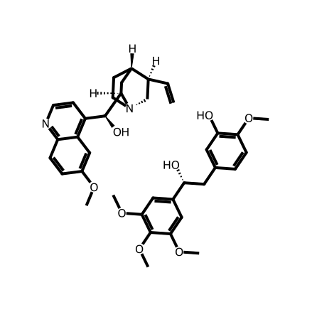 C=C[C@H]1C[N@]2CC[C@H]1C[C@@H]2[C@@H](O)c1ccnc2ccc(OC)cc12.COc1ccc(C[C@@H](O)c2cc(OC)c(OC)c(OC)c2)cc1O